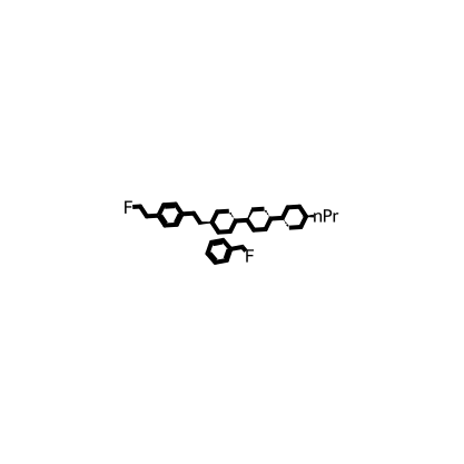 CCC[C@H]1CC[C@H]([C@H]2CC[C@H]([C@H]3CC[C@H](CCc4ccc(CCF)cc4)CC3)CC2)CC1.FCc1ccccc1